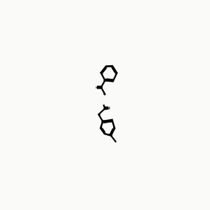 [CH2]c1ccc(CC(=O)OCC(=O)c2ccccc2)cc1